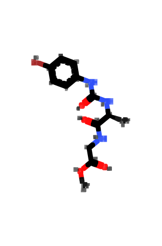 CCC[C@H](NC(=O)Nc1ccc(Br)cc1)C(=O)NCC(=O)OC(C)C